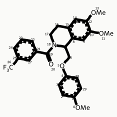 COc1ccc(OCC2c3cc(OC)c(OC)cc3CCN2C(=O)c2cccc(C(F)(F)F)c2)cc1